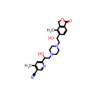 Cc1cc([C@@H](O)CN2CCN(C[C@H](O)c3ccc4c(c3C)COC4=O)CC2)ncc1C#N